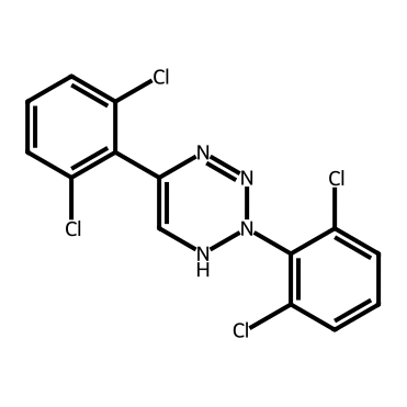 Clc1cccc(Cl)c1C1=CNN(c2c(Cl)cccc2Cl)N=N1